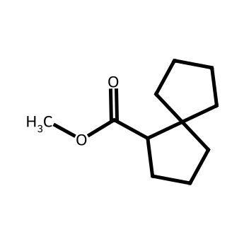 COC(=O)C1CCCC12CCCC2